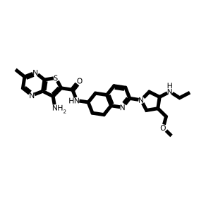 CCNC1CN(c2ccc3c(n2)CCC(NC(=O)c2sc4nc(C)cnc4c2N)C3)CC1COC